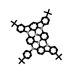 CC(C)(C)c1ccc(B2c3ccc4c5c3N3c6c2ccc2c6N6c7c8c(cc9c7B(c7ccc(C(C)(C)C)cc7-9)c7ccc(c3c76)B5c3ccc(C(C)(C)C)cc3-4)-c3cc(C(C)(C)C)ccc3B28)cc1